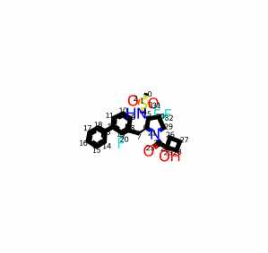 CS(=O)(=O)N[C@@H]1[C@H](Cc2cccc(-c3ccccc3)c2F)N(C(=O)C2(O)CCC2)CC1(F)F